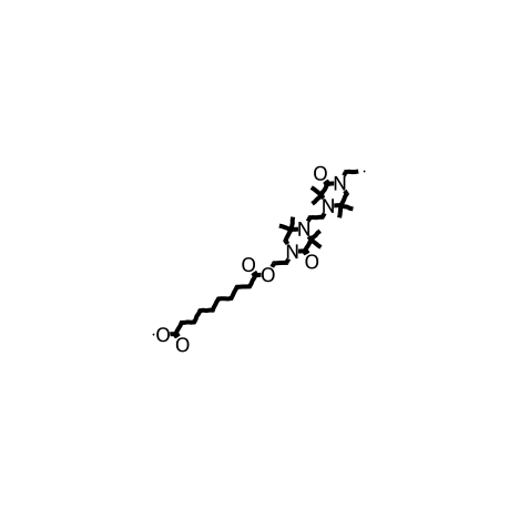 [CH2]CN1CC(C)(C)N(CCN2C(C)(C)CN(CCOC(=O)CCCCCCCCC([O])=O)C(=O)C2(C)C)C(C)(C)C1=O